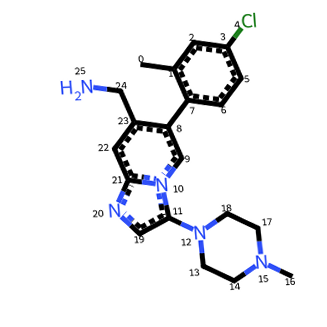 Cc1cc(Cl)ccc1-c1cn2c(N3CCN(C)CC3)cnc2cc1CN